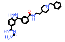 N=C(/N=C\N)c1ccc2[nH]nc(-c3cccc(C(=O)NCCC4CCN(Cc5ccccc5)CC4)c3)c2c1